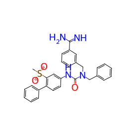 CS(=O)(=O)c1cc(NC(=O)N(Cc2ccccc2)Cc2cccc(C(=N)N)c2)ccc1-c1ccccc1